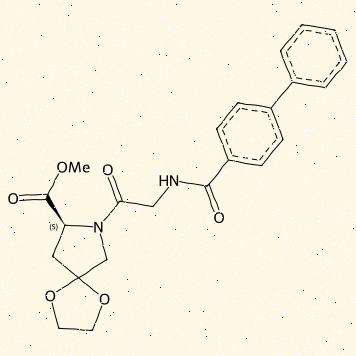 COC(=O)[C@@H]1CC2(CN1C(=O)CNC(=O)c1ccc(-c3ccccc3)cc1)OCCO2